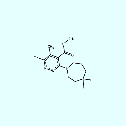 COC(=O)c1c(N2CCCC(F)(F)CC2)nnc(Cl)c1C